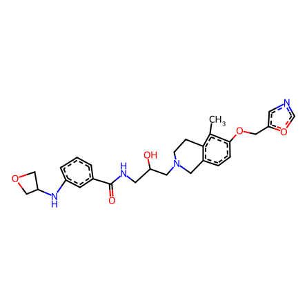 Cc1c(OCc2cnco2)ccc2c1CCN(CC(O)CNC(=O)c1cccc(NC3COC3)c1)C2